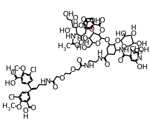 COc1c(Cl)cc(C(=CCCNC(=O)COCCOCC(=O)NCCNC(=O)C2CC(NC(=O)c3cc(O)nc(O)n3)C(OC3OC(C)C(O)C(O)C3O)C(OC3OC(CO)C(O)C(OC4(C(=O)O)CC(O)C(NC(C)=O)C([C@H](O)[C@H](O)CO)O4)C3OC(=O)c3ccccc3)C2)c2cc(Cl)c(OC)c(C(=O)O)c2)cc1C(=O)O